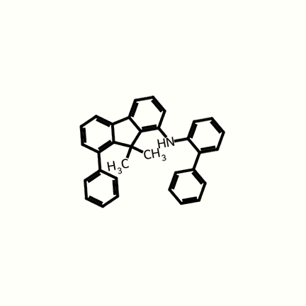 CC1(C)c2c(Nc3ccccc3-c3ccccc3)cccc2-c2cccc(-c3ccccc3)c21